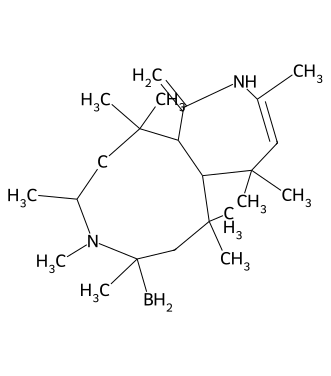 BC1(C)CC(C)(C)C2C(C(=C)NC(C)=CC2(C)C)C(C)(C)CC(C)N1C